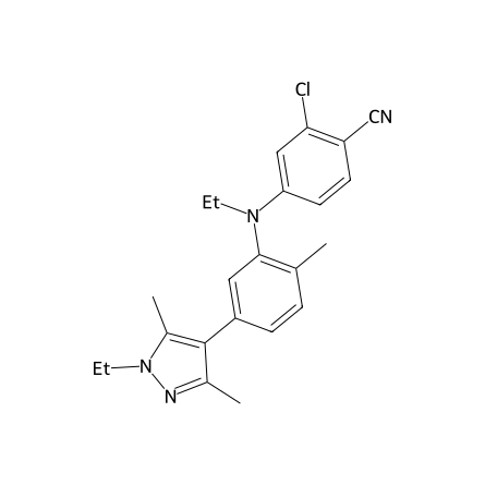 CCN(c1ccc(C#N)c(Cl)c1)c1cc(-c2c(C)nn(CC)c2C)ccc1C